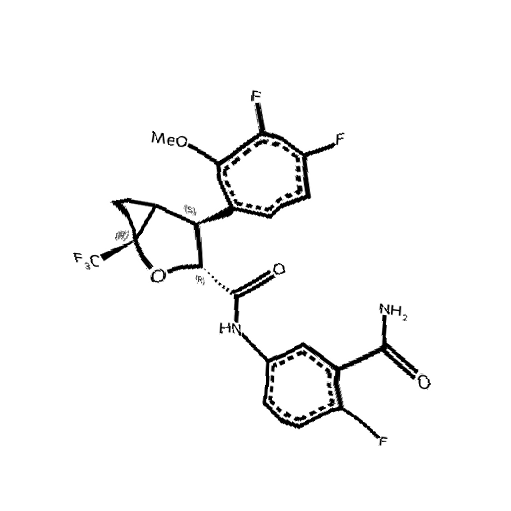 COc1c([C@@H]2C3C[C@@]3(C(F)(F)F)O[C@H]2C(=O)Nc2ccc(F)c(C(N)=O)c2)ccc(F)c1F